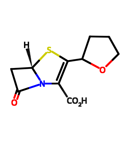 O=C(O)C1=C(C2CCCO2)S[C@@H]2CC(=O)N12